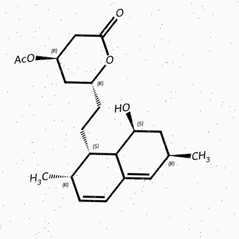 CC(=O)O[C@H]1CC(=O)O[C@H](CC[C@@H]2C3C(=C[C@H](C)C[C@@H]3O)C=C[C@@H]2C)C1